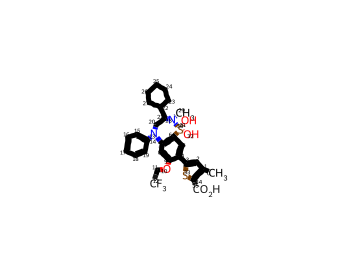 Cc1cc(-c2cc3c(cc2OCC(F)(F)F)N(c2ccccc2)CC(C2CCCCC2)N(C)S3(O)O)sc1C(=O)O